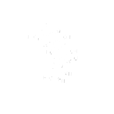 COc1cccc2c1C(=O)c1c(O)c3c(c(O)c1C2=O)C[C@@](O)(C(C)=O)C[C@@H]3C[C@H]1CC(C)[C@H](C)C(C)O1